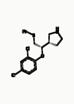 CC(C)SC[C@@H](Oc1ccc(Cl)cc1Cl)[C@H]1CCNC1